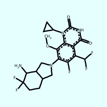 COc1c(N2CC3CCC(F)(F)C(N)C3C2)c(F)c(C(F)F)c2c(=O)[nH]c(=O)n(C3CC3)c12